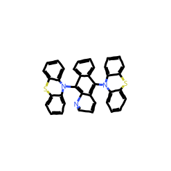 c1ccc2c(c1)Sc1ccccc1N2c1c2ccccc2c(N2c3ccccc3Sc3ccccc32)c2ncccc12